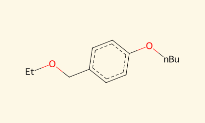 CCCCOc1ccc(COCC)cc1